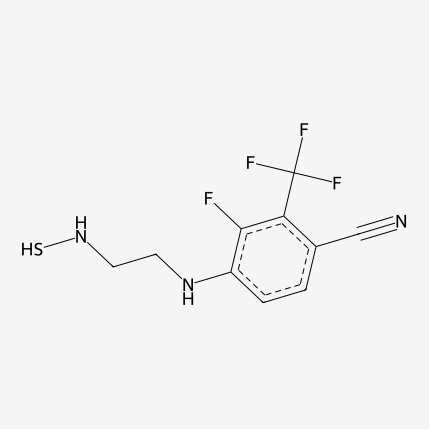 N#Cc1ccc(NCCNS)c(F)c1C(F)(F)F